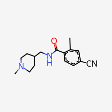 Cc1cc(C#N)ccc1C(=O)NCC1CCN(C)CC1